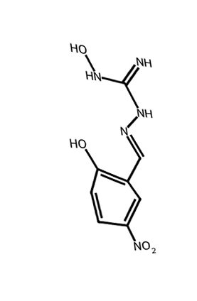 N=C(NO)N/N=C/c1cc([N+](=O)[O-])ccc1O